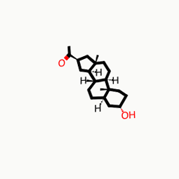 CC(=O)[C@@H]1C[C@@H]2[C@H]3CC[C@@H]4C[C@@H](O)CC[C@@]4(C)[C@@H]3CC[C@@]2(C)C1